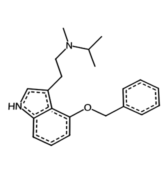 CC(C)N(C)CCc1c[nH]c2cccc(OCc3ccccc3)c12